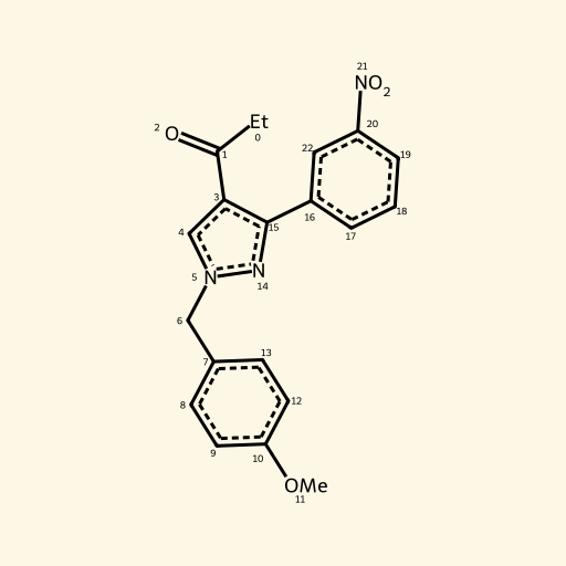 CCC(=O)c1cn(Cc2ccc(OC)cc2)nc1-c1cccc([N+](=O)[O-])c1